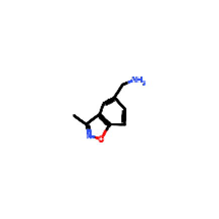 Cc1noc2ccc(CN)cc12